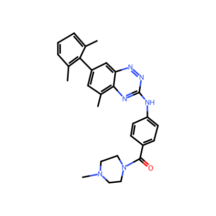 Cc1cccc(C)c1-c1cc(C)c2nc(Nc3ccc(C(=O)N4CCN(C)CC4)cc3)nnc2c1